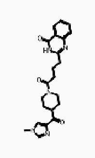 Cn1cnc(C(=O)C2CCN(C(=O)CCCc3nc4ccccc4c(=O)[nH]3)CC2)c1